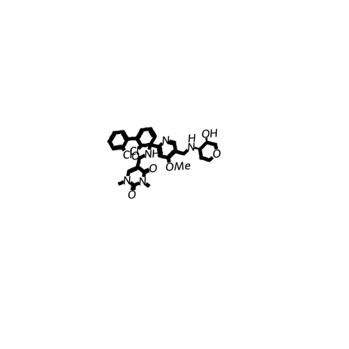 COc1cc(C2(NC(=O)c3cn(C)c(=O)n(C)c3=O)C=CC=C(c3ccccc3Cl)C2Cl)ncc1CN[C@@H]1CCOC[C@@H]1O